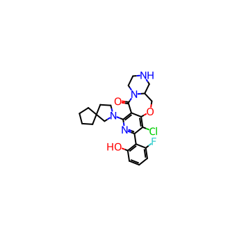 O=C1c2c(N3CCC4(CCCC4)C3)nc(-c3c(O)cccc3F)c(Cl)c2OCC2CNCCN12